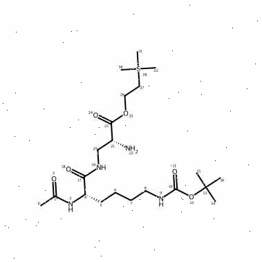 CC(=O)N[C@@H](CCCCNC(=O)OC(C)(C)C)C(=O)NC[C@@H](N)C(=O)OCCS(C)(C)C